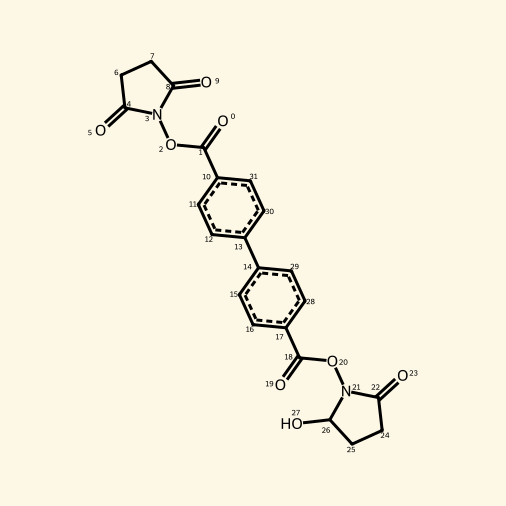 O=C(ON1C(=O)CCC1=O)c1ccc(-c2ccc(C(=O)ON3C(=O)CCC3O)cc2)cc1